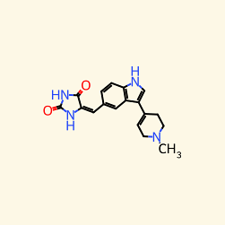 CN1CC=C(c2c[nH]c3ccc(C=C4NC(=O)NC4=O)cc23)CC1